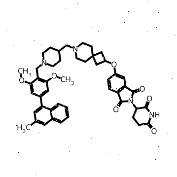 COc1cc(-c2cc(C)cc3ccccc23)cc(OC)c1CN1CCC(CN2CCC3(CC2)CC(Oc2ccc4c(c2)C(=O)N(C2CCC(=O)NC2=O)C4=O)C3)CC1